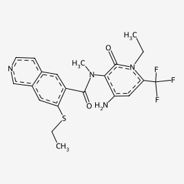 CCSc1cc2cnccc2cc1C(=O)N(C)c1c(N)cc(C(F)(F)F)n(CC)c1=O